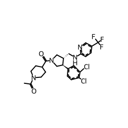 CC(=O)N1CCC(C(=O)N2C[C@H](CNc3ccc(C(F)(F)F)cn3)[C@@H](c3ccc(Cl)c(Cl)c3)C2)CC1